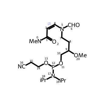 CNC(=O)/C=C\N(C=O)CCC(COP(OCCC#N)N(C(C)C)C(C)C)OC